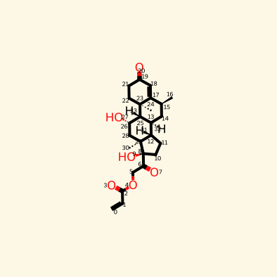 C=CC(=O)OCC(=O)[C@@]1(O)CC[C@H]2[C@@H]3C[C@H](C)C4=CC(=O)CC[C@]4(C)[C@H]3[C@@H](O)C[C@@]21C